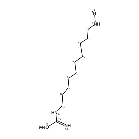 [3H]NCCCCCCCCCCNC(=N)OC